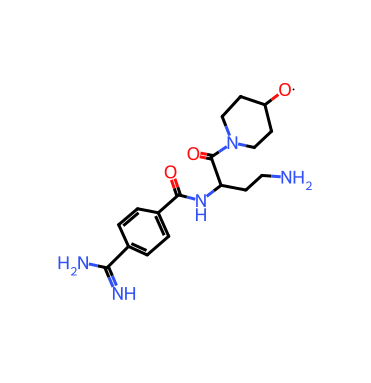 N=C(N)c1ccc(C(=O)NC(CCN)C(=O)N2CCC([O])CC2)cc1